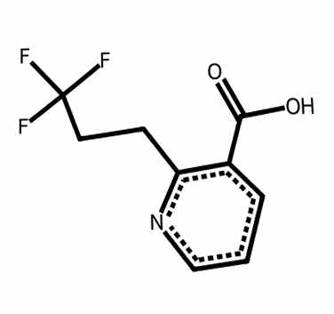 O=C(O)c1cccnc1CCC(F)(F)F